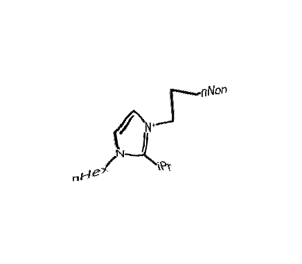 CCCCCCCCCCC[n+]1ccn(CCCCCC)c1C(C)C